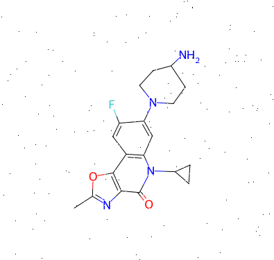 Cc1nc2c(=O)n(C3CC3)c3cc(N4CCC(N)CC4)c(F)cc3c2o1